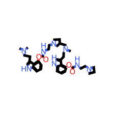 CN(C)CCc1c[nH]c2cccc(OC(=O)NCCN3CCC(CN(C)CCc4c[nH]c5cccc(OC(=O)NCCN6CCC6)c45)C3)c12